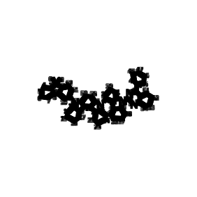 CC1(C)c2ccccc2-c2cc(-n3c4ccccc4c4c5c6ccccc6n(-c6cccc7c6c6ccccc6n7-c6nc(-c7ccccc7)c7ccccc7n6)c5ccc43)ccc21